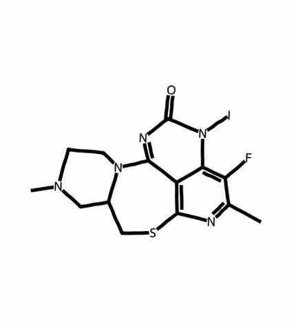 Cc1nc2c3c(nc(=O)n(I)c3c1F)N1CCN(C)CC1CS2